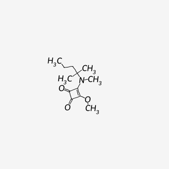 CCCC(C)(C)N(C)c1c(OC)c(=O)c1=O